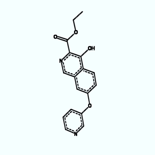 CCOC(=O)c1ncc2cc(Oc3cccnc3)ccc2c1O